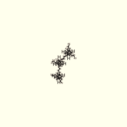 CCC[Si]1(C)N[Si](C)(CCC)N[Si](C)(CCCC[Si]2(C)N[Si](C)(CCC)N[Si](C)(CCCC[Si]3(C)N[Si](C)(CCC)N[Si](C)(CCC)N3)N2)N1